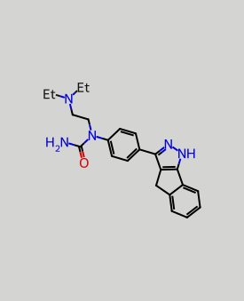 CCN(CC)CCN(C(N)=O)c1ccc(-c2n[nH]c3c2Cc2ccccc2-3)cc1